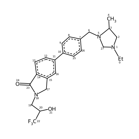 CCN1CC(C)N(Cc2ccc(-c3ccc4c(c3)CN(CC(O)C(F)(F)F)C4=O)cc2)C1